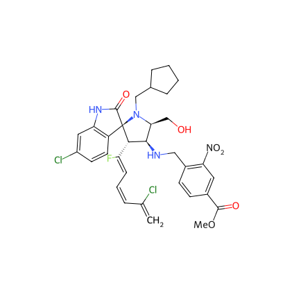 C=C(Cl)/C=C\C=C(/F)[C@H]1[C@H](NCc2ccc(C(=O)OC)cc2[N+](=O)[O-])[C@H](CO)N(CC2CCCC2)[C@@]12C(=O)Nc1cc(Cl)ccc12